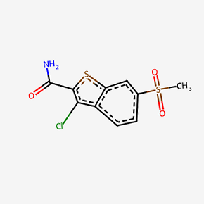 CS(=O)(=O)c1ccc2c(Cl)c(C(N)=O)sc2c1